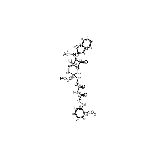 CC(=O)N(c1cc2ccccc2s1)C1C(=O)N2CC(COC(=O)NC(=O)OCc3ccccc3[N+](=O)[O-])(C(=O)O)CS[C@H]12